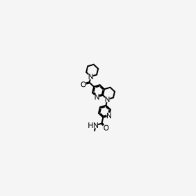 CNC(=O)c1ccc(N2CCCc3cc(C(=O)N4CCCCC4)cnc32)cn1